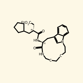 CCOC(=O)C[C@@H](CC1CCCC1)C(=O)N[C@H]1Cc2cn(c3ccccc23)CCCCCCNC1=O